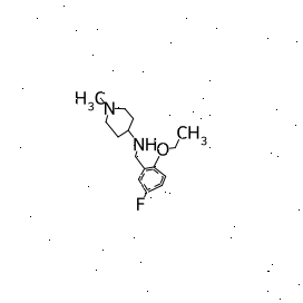 CCOc1ccc(F)cc1CNC1CCN(C)CC1